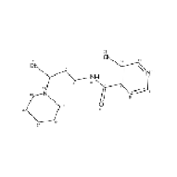 CCC(CCNC(=O)c1ccncc1Cl)N1CCCCC1